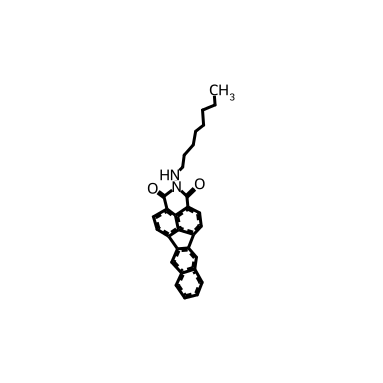 CCCCCCCCNN1C(=O)c2ccc3c4c(ccc(c24)C1=O)-c1cc2ccccc2cc1-3